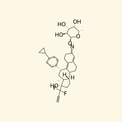 C#CC(F)(F)[C@]1(O)CC[C@H]2[C@@H]3CCC4=C/C(=N/O[C@@H]5O[C@@H](C)[C@@H](O)[C@@H](O)[C@@H]5O)CCC4=C3[C@@H](c3ccc(C4CC4)cc3)C[C@@]21C